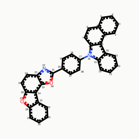 c1ccc2c(c1)ccc1c2c2ccccc2n1-c1ccc(-c2nc3ccc4oc5ccccc5c4c3o2)cc1